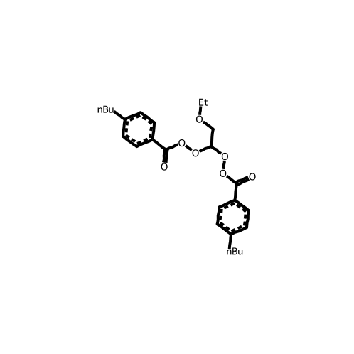 [CH2]COC[C](OOC(=O)c1ccc(CCCC)cc1)OOC(=O)c1ccc(CCCC)cc1